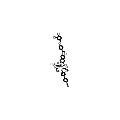 Cc1nc(N)sc1S(=O)(=O)N1Cc2cc3c(cc2C[C@H]1C(=O)N[C@H](Cc1ccc(-c2ccc(C#N)cc2)cc1)C(=O)O)OCC(c1ccc(OCc2ccc(Cl)c(Cl)c2)cc1)O3